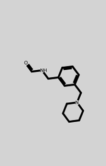 O=CNCc1cccc(CN2CCCCC2)c1